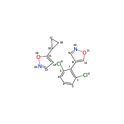 Clc1cccc(Cl)c1-c1cnoc1.c1cc(C2CC2)on1